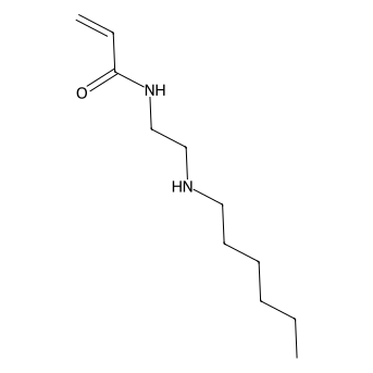 C=CC(=O)NCCNCCCCCC